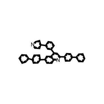 c1ccc(-c2ccc(-c3ccc4nc(-c5ccc(-c6ccccc6)cc5)cc(-c5cccc(-c6ccncc6)c5)c4c3)cc2)cc1